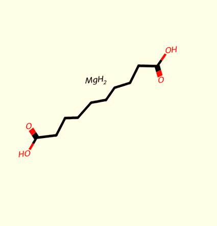 O=C(O)CCCCCCCCC(=O)O.[MgH2]